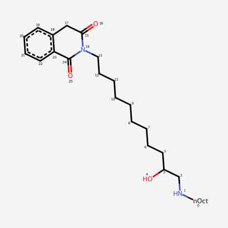 CCCCCCCCNCC(O)CCCCCCCCCN1C(=O)Cc2ccccc2C1=O